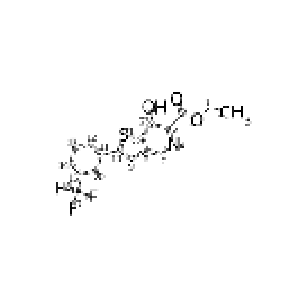 CCOC(=O)c1ncc2cc(-c3cccc(C(F)(F)F)c3)sc2c1O